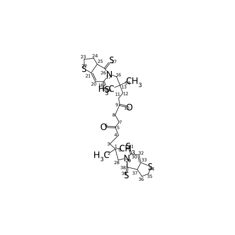 CC(C)(CCC(=O)CCC(=O)CCC(C)(C)CN1C(=S)C=C2SCCC2C1=S)CN1C(=S)C=C2SCCC2C1=S